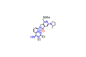 CCC(=N)N(CC)C(=N)c1cccc(N2Cc3c(cc(N4CCCC4C)nc3CNC)C2=O)n1